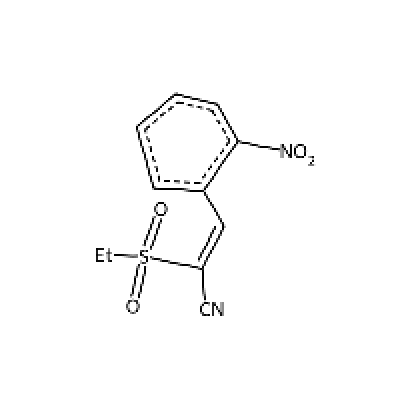 CCS(=O)(=O)C(C#N)=Cc1ccccc1[N+](=O)[O-]